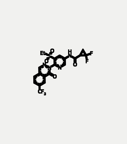 CCS(=O)(=O)c1cc(NC(=O)C2CC2(F)F)cnc1-n1ncc2ccc(C(F)(F)F)cc2c1=O